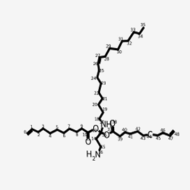 C=CCCCCCCCCC(=O)OC(CCN)(NCCCCCCCC/C=C\CCCCCCCC)OC(=O)CCCCCCCCC=C